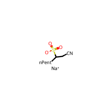 CCCCCC(CC#N)S(=O)(=O)[O-].[Na+]